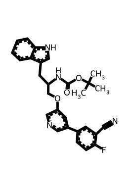 CC(C)(C)OC(=O)NC(COc1cncc(-c2ccc(F)c(C#N)c2)c1)Cc1c[nH]c2ccccc12